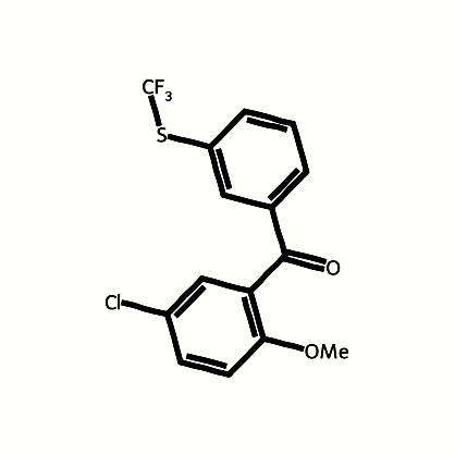 COc1ccc(Cl)cc1C(=O)c1cccc(SC(F)(F)F)c1